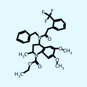 CCOC(=O)N1c2cc(OC)c(OC)cc2C(N(Cc2ccccc2)C(=O)Cc2ccccc2C(F)(F)F)CC1C